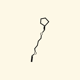 C=COCCCCOC=C1CCCC1